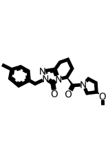 CO[C@H]1CCN(C(=O)[C@@H]2CCCc3nn(Cc4ccc(C)cc4)c(=O)n32)C1